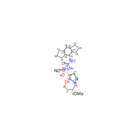 CO[C@@H]1CCOc2c([S@@](=O)(=NC(=O)Nc3c4c(cc5c3CCC5)CCC4)NC#N)cnn2C1